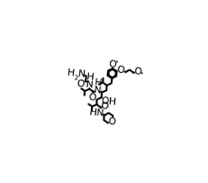 COCCCOc1cc(CC(CC(NC(=O)[C@@H](NC(=O)CN)C(C)C)C(O)CC(C(=O)NC2CCOCC2)C(C)C)C(C)C)ccc1OC